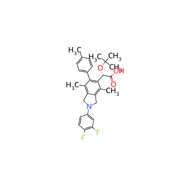 Cc1ccc(-c2c(C)c3c(c(C)c2[C@H](OC(C)(C)C)C(=O)O)CN(c2ccc(F)c(F)c2)C3)cc1